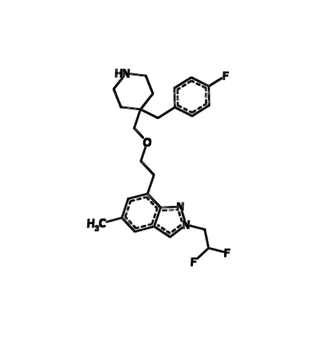 Cc1cc(CCOCC2(Cc3ccc(F)cc3)CCNCC2)c2nn(CC(F)F)cc2c1